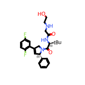 CC(C)(C)[C@H](NC(=O)CNCCO)C(=O)N1CC(c2cc(F)ccc2F)=C[C@H]1c1ccccc1